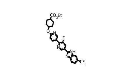 CCOC(=O)C1CCC(Oc2ccc(-c3ncc(-c4nc5ccc(C(F)(F)F)cc5[nH]4)cc3F)cn2)CC1